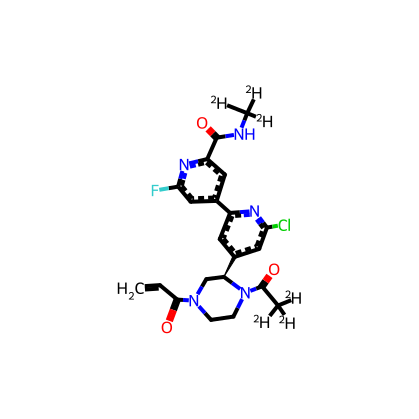 [2H]C([2H])([2H])NC(=O)c1cc(-c2cc([C@@H]3CN(C(=O)C=C)CCN3C(=O)C([2H])([2H])[2H])cc(Cl)n2)cc(F)n1